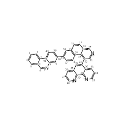 c1ccc2c(c1)cnc1cc(-c3ccc4c(ccc5cncc(-c6cc7cccnc7c7ncccc67)c54)c3)ccc12